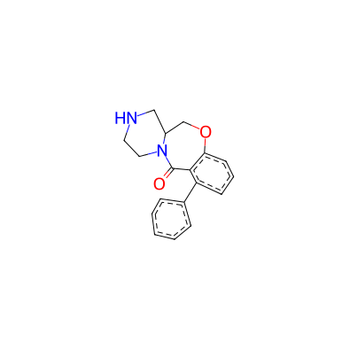 O=C1c2c(cccc2-c2ccccc2)OCC2CNCCN12